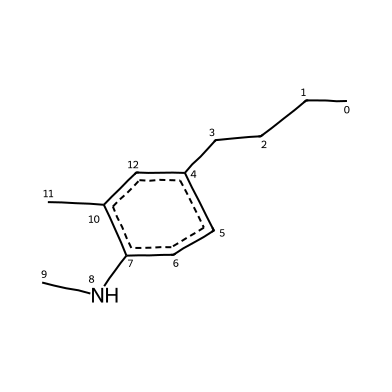 CCCCc1ccc(NC)c(C)c1